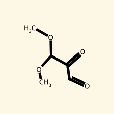 COC(OC)C(=O)C=O